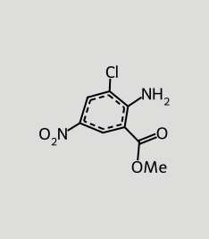 COC(=O)c1cc([N+](=O)[O-])cc(Cl)c1N